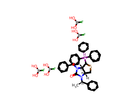 C[C@H](c1ccccc1)N1C(=O)N(Cc2ccccc2)[C@@H]2C([PH](c3ccccc3)(c3ccccc3)c3ccccc3)SC[C@@H]21.OB(O)F.OB(O)F.OB(O)F.OB(O)F